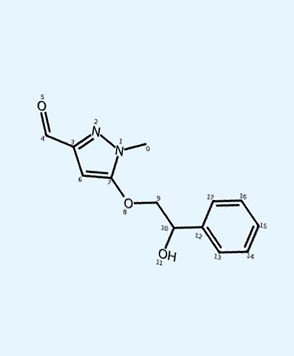 Cn1nc(C=O)cc1OCC(O)c1ccccc1